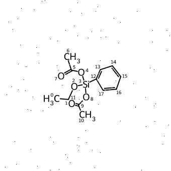 CCO[Si](OC(C)=O)(OC(C)=O)c1ccccc1